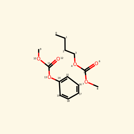 CCCCOC(=O)OC.COC(=O)Oc1ccccc1